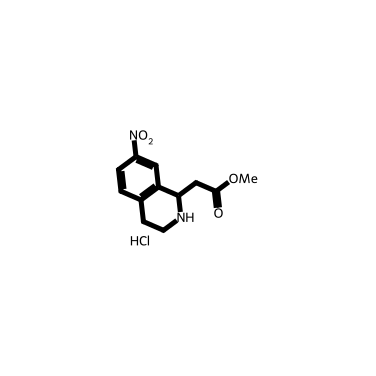 COC(=O)CC1NCCc2ccc([N+](=O)[O-])cc21.Cl